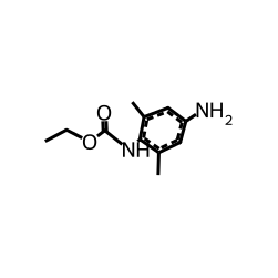 CCOC(=O)Nc1c(C)cc(N)cc1C